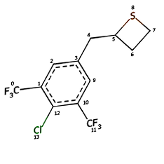 FC(F)(F)c1cc(CC2CCS2)cc(C(F)(F)F)c1Cl